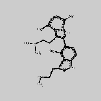 CNCCc1c[nH]c2ccc(-c3[nH]c4c(O)ccc(O)c4c3CCN(C)C)c(O)c12